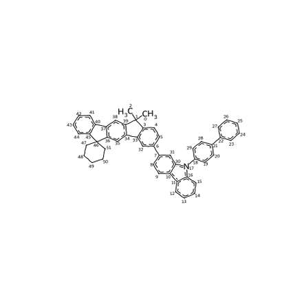 CC1(C)c2ccc(-c3ccc4c5ccccc5n(-c5ccc(-c6ccccc6)cc5)c4c3)cc2-c2cc3c(cc21)-c1ccccc1C31CCCCC1